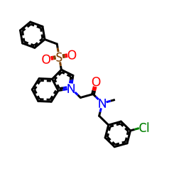 CN(Cc1cccc(Cl)c1)C(=O)Cn1cc(S(=O)(=O)Cc2ccccc2)c2ccccc21